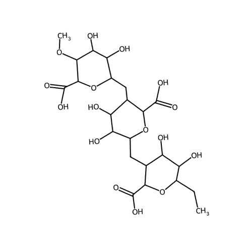 CCC1OC(C(=O)O)C(CC2OC(C(=O)O)C(CC3OC(C(=O)O)C(OC)C(O)C3O)C(O)C2O)C(O)C1O